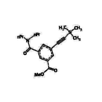 CCCN(CCC)C(=O)c1cc(C#C[Si](C)(C)C)cc(C(=O)OC)c1